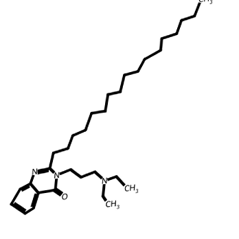 CCCCCCCCCCCCCCCCCc1nc2ccccc2c(=O)n1CCCN(CC)CC